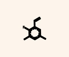 C=Cc1cc(C)cc(C)c1F